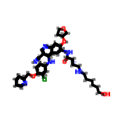 N#Cc1cnc2cc(O[C@H]3CCOC3)c(NC(=O)/C=C/CNCCCCCCO)cc2c1Nc1ccc(OCc2ccccn2)c(Cl)c1